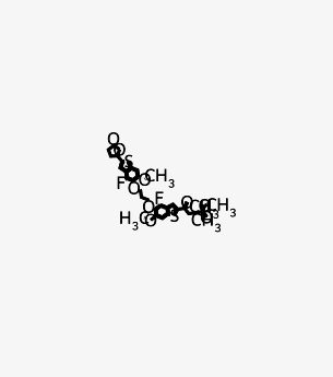 COC(=O)C(C)(C)CC(=O)c1cc2c(F)c(OCCCOc3c(OC)cc4sc(C5CCC(=O)O5)cc4c3F)c(OC)cc2s1